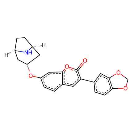 O=c1oc2cc(O[C@@H]3C[C@H]4CC[C@@H](C3)N4)ccc2cc1-c1ccc2c(c1)OCO2